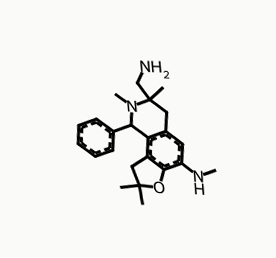 CNc1cc2c(c3c1OC(C)(C)C3)C(c1ccccc1)N(C)C(C)(CN)C2